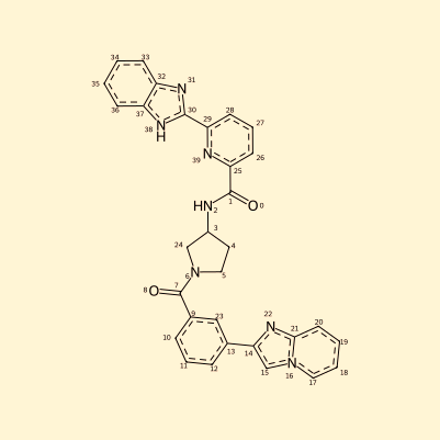 O=C(NC1CCN(C(=O)c2cccc(-c3cn4ccccc4n3)c2)C1)c1cccc(-c2nc3ccccc3[nH]2)n1